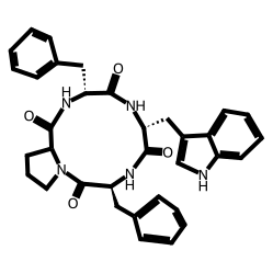 O=C1N[C@H](Cc2ccccc2)C(=O)N[C@H](Cc2c[nH]c3ccccc23)C(=O)N[C@@H](Cc2ccccc2)C(=O)N2CCCC12